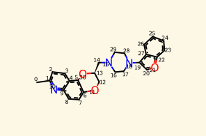 Cc1ccc2c3c(ccc2n1)OC[C@H](CN1CCN(c2coc4ccccc24)CC1)O3